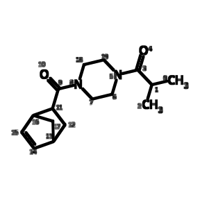 CC(C)C(=O)N1CCN(C(=O)C2CC3C=CC2C3)CC1